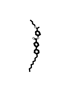 CCCCCCCCCc1ccc(-c2ccc(C(=O)Oc3ccc(C(C)OCCCC)cc3)cc2)cc1